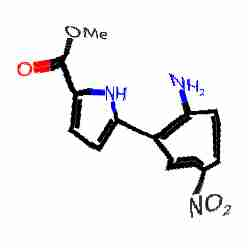 COC(=O)c1ccc(-c2cc([N+](=O)[O-])ccc2N)[nH]1